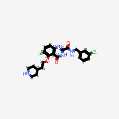 O=C(NCc1cccc(Cl)c1)c1nc2ccc(F)c(OCCC3CCNCC3)c2c(=O)[nH]1